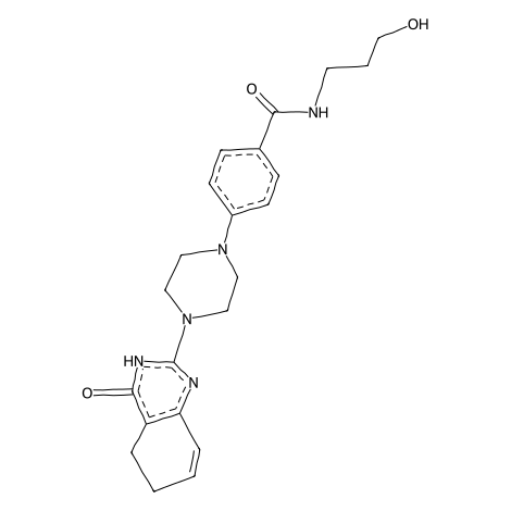 O=C(NCCCO)c1ccc(N2CCN(c3nc4c(c(=O)[nH]3)CCC=C4)CC2)cc1